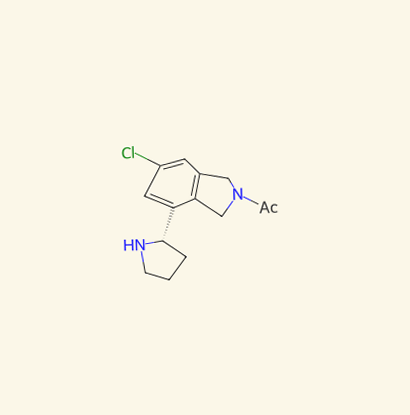 CC(=O)N1Cc2cc(Cl)cc([C@@H]3CCCN3)c2C1